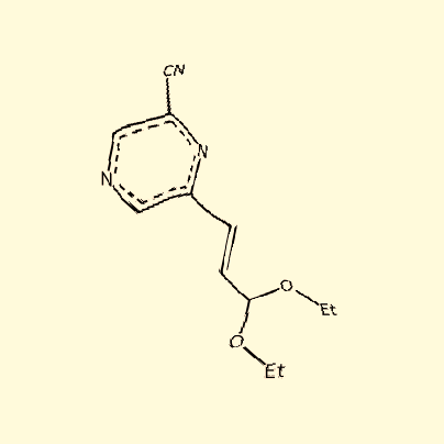 CCOC(/C=C/c1cncc(C#N)n1)OCC